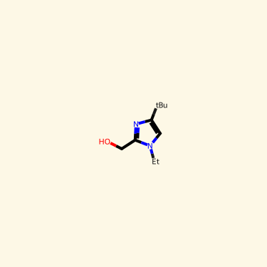 CCn1cc(C(C)(C)C)nc1CO